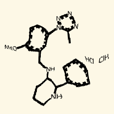 COc1ccc(-n2nnnc2C)cc1CNC1CCCNC1c1ccccc1.Cl.Cl